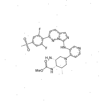 COC(=O)N[C@@H]1[C@H](N)CN(c2ccncc2Nc2ncc3ccc(-c4c(F)cc(S(C)(=O)=O)cc4F)nn23)C[C@@H]1C